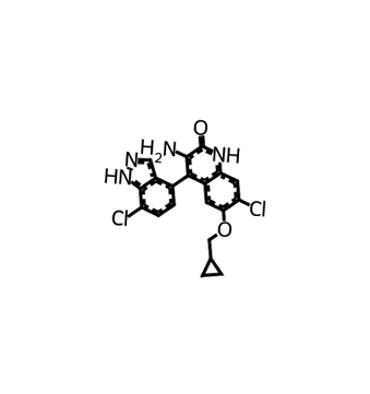 Nc1c(-c2ccc(Cl)c3[nH]ncc23)c2cc(OCC3CC3)c(Cl)cc2[nH]c1=O